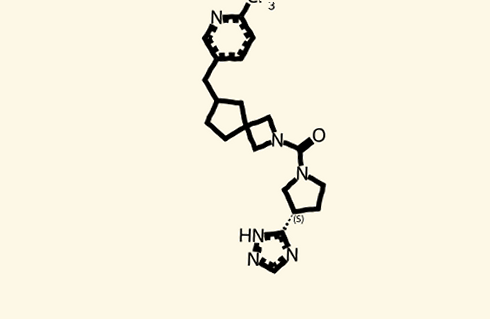 O=C(N1CC[C@H](c2ncn[nH]2)C1)N1CC2(CCC(Cc3ccc(C(F)(F)F)nc3)C2)C1